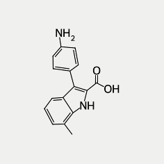 Cc1cccc2c(-c3ccc(N)cc3)c(C(=O)O)[nH]c12